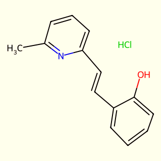 Cc1cccc(C=Cc2ccccc2O)n1.Cl